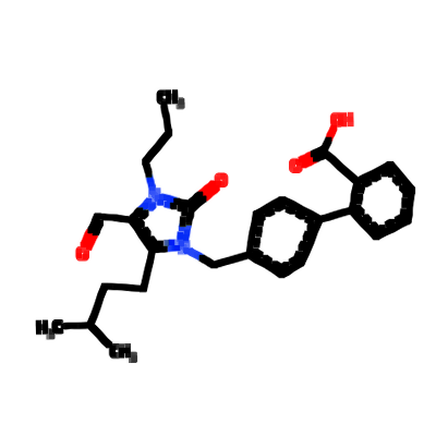 CCCn1c(C=O)c(CCC(C)C)n(Cc2ccc(-c3ccccc3C(=O)O)cc2)c1=O